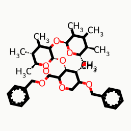 CC1C(C)[C@@H](C)[C@H](C)O[C@H]1OC1C(C)[C@@H](C)[C@H](C)O[C@H]1O[C@H]1C(C(=O)OCc2ccccc2)OCC(OCc2ccccc2)[C@H]1C